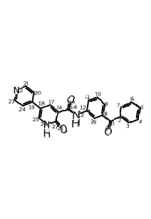 O=C(c1ccccc1)c1cccc(NC(=O)c2cc(-c3ccncc3)c[nH]c2=O)c1